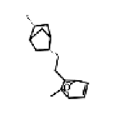 Cc1c(CC[C@@H]2CC3CC2C[C@H]3C)c2ccc1o2